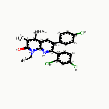 [CH2]C(=O)Nc1c(C)c(=O)n(CC(C)C)c2nc(-c3ccc(Cl)cc3Cl)c(-c3ccc(Cl)cc3)cc12